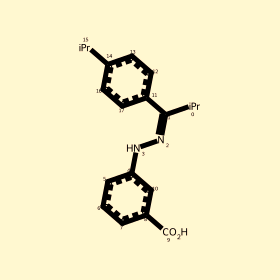 CC(C)C(=NNc1cccc(C(=O)O)c1)c1ccc(C(C)C)cc1